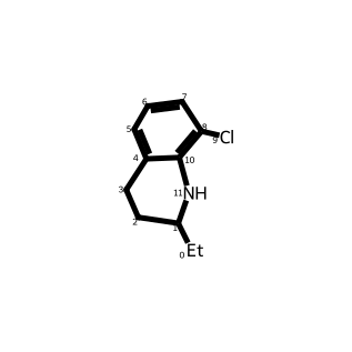 CCC1CCc2cccc(Cl)c2N1